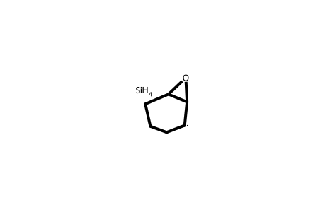 [CH]1CCCC2OC12.[SiH4]